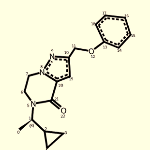 C[C@H](C1CC1)N1CCn2nc(COc3ccccc3)cc2C1=O